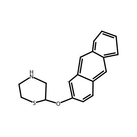 [c]1c(OC2CNCCS2)ccc2cc3ccccc3cc12